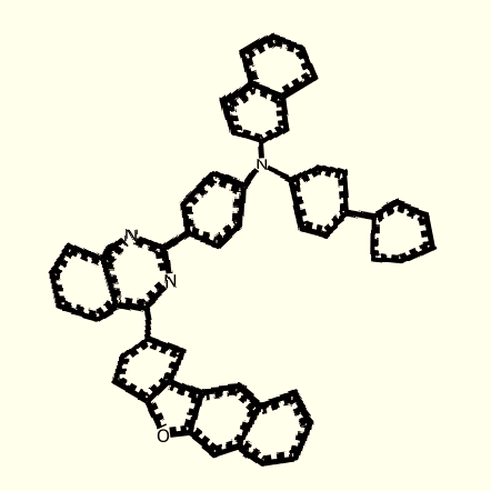 c1ccc(-c2ccc(N(c3ccc(-c4nc(-c5ccc6oc7cc8ccccc8cc7c6c5)c5ccccc5n4)cc3)c3ccc4ccccc4c3)cc2)cc1